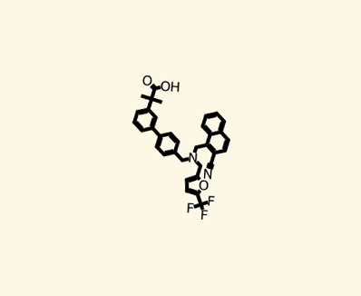 CC(C)(C(=O)O)c1cccc(-c2ccc(CN(Cc3ccc(C(F)(F)F)o3)Cc3c(C#N)ccc4ccccc34)cc2)c1